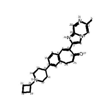 Cc1cn2cc(C3=Cc4ccc(C5CCN(C6CCC6)CC5)cc4CCC3=O)nc2cn1